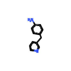 Nc1ccc(Cc2cccnc2)cc1